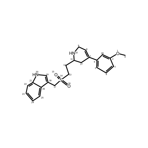 COc1cccc(C2=CCNC(CCS(=O)(=O)Cc3c[nH]c4ccccc34)C2)c1